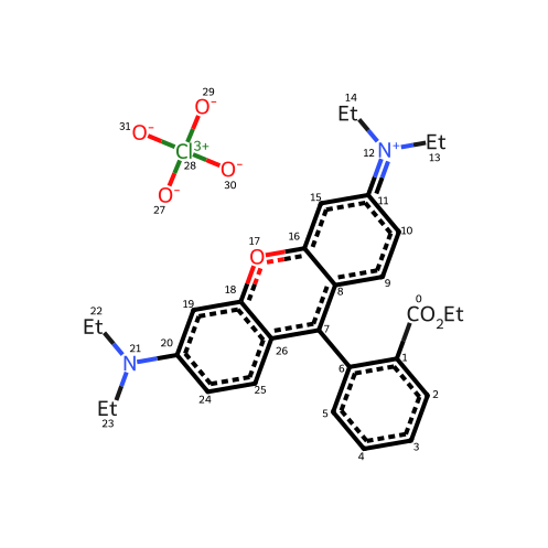 CCOC(=O)c1ccccc1-c1c2ccc(=[N+](CC)CC)cc-2oc2cc(N(CC)CC)ccc12.[O-][Cl+3]([O-])([O-])[O-]